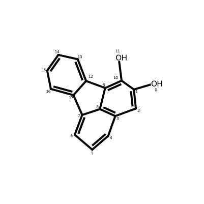 Oc1cc2cccc3c2c(c1O)-c1ccccc1-3